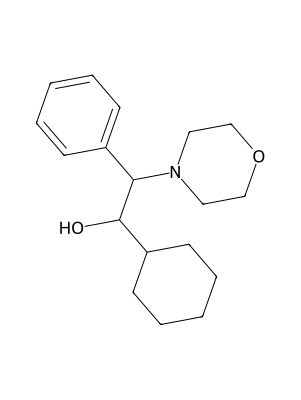 OC(C1CCCCC1)C(c1ccccc1)N1CCOCC1